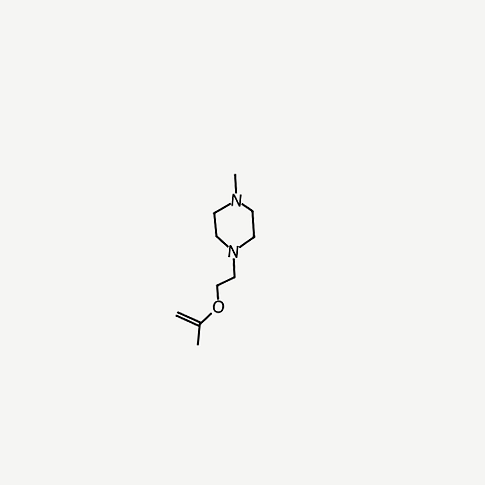 C=C(C)OCCN1CCN(C)CC1